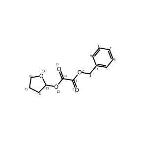 O=C(OCc1ccccc1)C(=O)OC1CCCO1